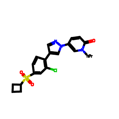 CCCn1cc(-n2cc(-c3ccc(S(=O)(=O)C4CCC4)cc3Cl)cn2)ccc1=O